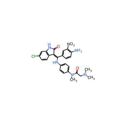 CN(C)CC(=O)N(C)c1ccc(NC(=C2C(=O)Nc3cc(Cl)ccc32)c2ccc(N)c([N+](=O)[O-])c2)cc1